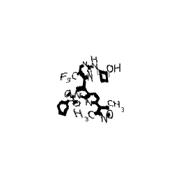 Cc1noc(C)c1-c1ccc2c(-c3nc(N[C@H]4CC[C@H]4O)ncc3C(F)(F)F)cn(S(=O)(=O)c3ccccc3)c2n1